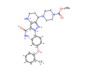 CC(C)(C)OC(=O)N1CCN(C2CCNc3c2nn(-c2ccc(Oc4ccccc4C(F)(F)F)cc2)c3C(N)=O)CC1